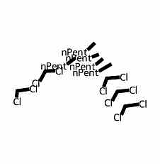 CCCCCC.CCCCCC.CCCCCC.CCCCCC.CCCCCC.ClCCl.ClCCl.ClCCl.ClCCl.ClCCl